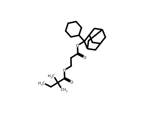 CCC(C)(C)C(=O)OCCC(=O)OC1(C2CCCCC2)C2CC3CC(C2)CC1C3